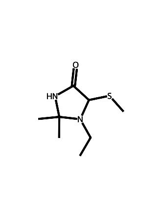 CCN1C(SC)C(=O)NC1(C)C